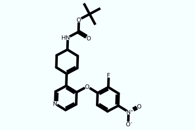 CC(C)(C)OC(=O)NC1CC=C(c2cnccc2Oc2ccc([N+](=O)[O-])cc2F)CC1